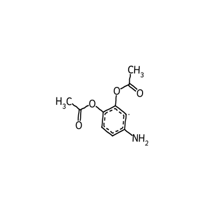 CC(=O)Oc1[c]c(N)ccc1OC(C)=O